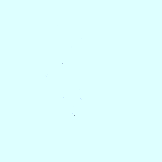 COc1nc(-c2ccc3ccccc3c2)ccc1C1(C)N=C(NCC2OCCO2)N(Cc2ccccc2)C1=O